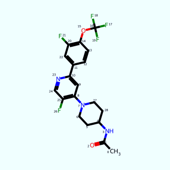 CC(=O)NC1CCN(c2cc(-c3ccc(OC(F)(F)F)c(F)c3)ncc2F)CC1